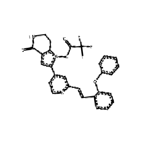 O=C1NCCc2c1cc(-c1ccnc(C=Cc3ccccc3Oc3ccccc3)c1)n2OC(=O)C(F)(F)F